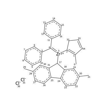 CC1=[C]([Zr+2](=[C](c2ccccc2)c2ccccc2)[CH]2c3cc(C)ccc3-c3ccc(C)cc32)CC=C1.[Cl-].[Cl-]